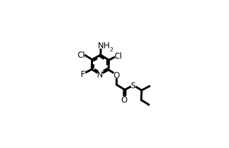 CCC(C)SC(=O)COc1nc(F)c(Cl)c(N)c1Cl